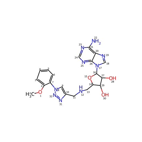 COc1ccccc1-n1cc(CNCC2OC(n3cnc4c(N)ncnc43)C(O)C2O)nn1